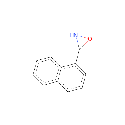 c1ccc2c(C3NO3)cccc2c1